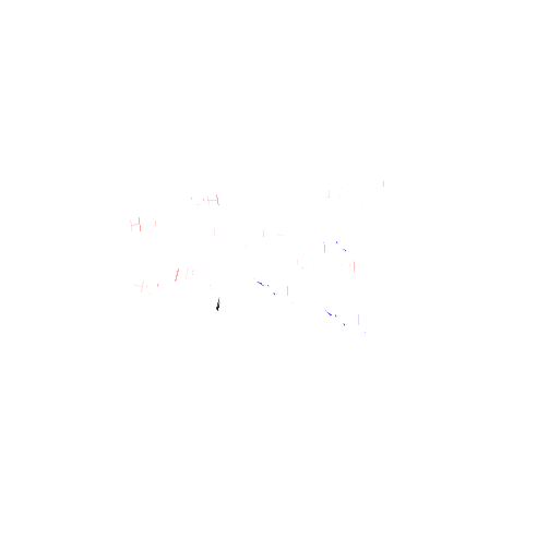 CC(C)C[C@H](N)C(=O)O.C[C@@H](O)[C@H](N)C(=O)O.NCC(=O)O.OCC(O)CO